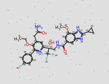 CCOc1c(CC(N)=O)cc([C@@](O)(CNC(=O)c2cc(OC)c3[nH]c(C4CC4)nc3c2)C(F)(F)F)nc1-c1ccc(F)cc1